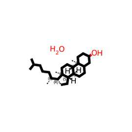 CC(C)CCC[C@@H](C)[C@H]1CC[C@H]2[C@@H]3CCC4CC(O)CC[C@]4(C)[C@H]3CC[C@]12C.O